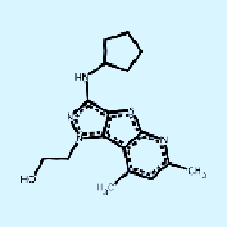 Cc1cc(C)c2c(n1)sc1c(NC3CCCC3)nn(CCO)c12